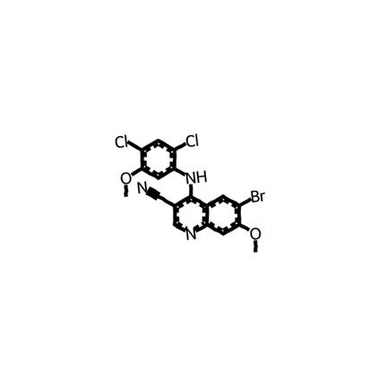 COc1cc(Nc2c(C#N)cnc3cc(OC)c(Br)cc23)c(Cl)cc1Cl